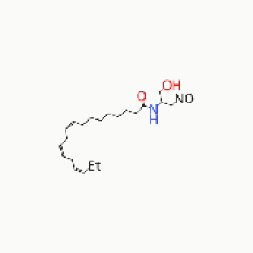 CC/C=C\C/C=C\C/C=C\CCCCCCCC(=O)NC(CO)CN=O